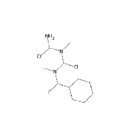 CN(C(N)Cl)C(Cl)N(C)C(I)C1CCCCC1